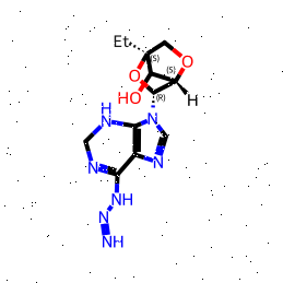 CC[C@]12CO[C@@H](C1O)[C@H](n1cnc3c1NCN=C3NN=N)O2